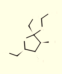 O=C(O)CN[C@@]1(CO)O[C@H](CO)[C@@H](O)[C@@H]1O